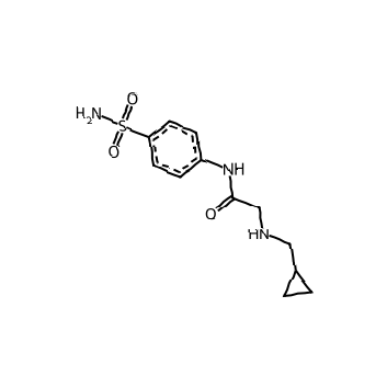 NS(=O)(=O)c1ccc(NC(=O)CNCC2CC2)cc1